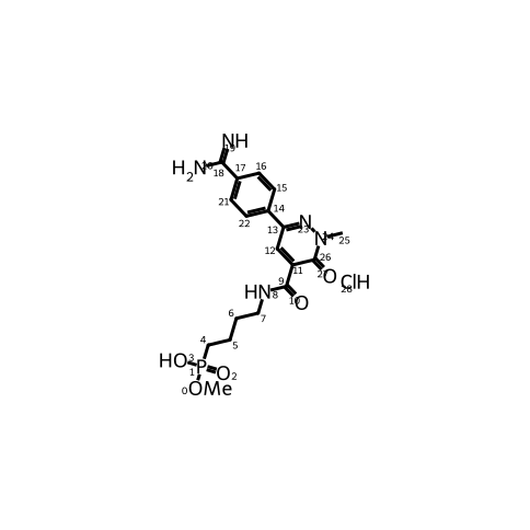 COP(=O)(O)CCCCNC(=O)c1cc(-c2ccc(C(=N)N)cc2)nn(C)c1=O.Cl